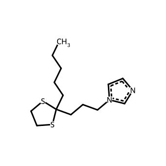 CCCCCC1(CCCn2ccnc2)SCCS1